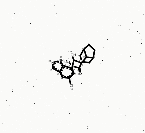 CC(C)(C)OC(=O)N1CC2CCC(C1)C2CC(O)c1cc(Cl)cc2cn[nH]c12